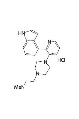 CNCCN1CCN(c2cccnc2-c2cccc3[nH]ccc23)CC1.Cl